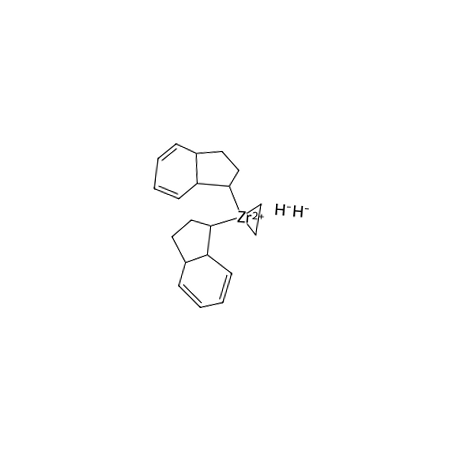 C1=CC2CC[CH]([Zr+2]3([CH]4CCC5C=CC=CC54)[CH2][CH2]3)C2C=C1.[H-].[H-]